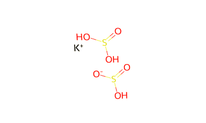 O=S(O)O.O=S([O-])O.[K+]